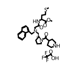 COC(=O)C(CCSC)NC(=O)CN(Cc1cccc2ccccc12)C[C@@H]1CCCN1C(=O)C1CCNCC1.O=C(O)C(F)(F)F